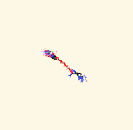 C/C=C\c1c(/C=C\CCC)c2ccc(-c3cnc(OCCOCCOCCOc4ccc5c(c4)C(=O)N(C4CCC(=O)NC4=O)C5=O)c(C#N)c3)cc2n1C